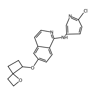 Clc1ccc(Nc2nccc3cc(OC4CCC45CCO5)ccc23)cn1